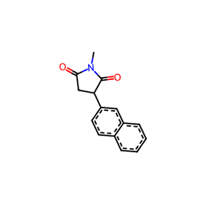 CN1C(=O)CC(c2ccc3ccccc3c2)C1=O